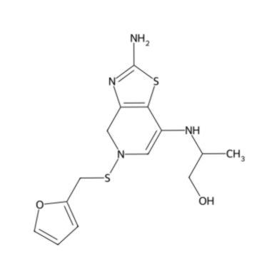 CC(CO)NC1=CN(SCc2ccco2)Cc2nc(N)sc21